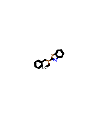 C=C[SH](Cc1ccccc1)c1nc2ccccc2s1